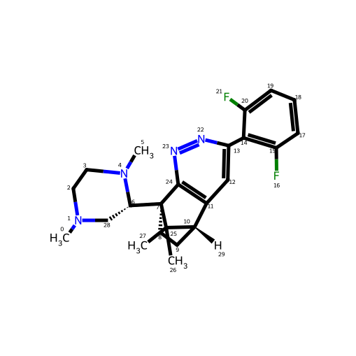 CN1CCN(C)[C@H]([C@@]23CC[C@@H](c4cc(-c5c(F)cccc5F)nnc42)C3(C)C)C1